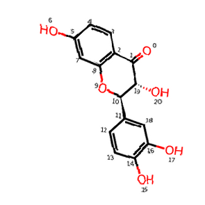 O=C1c2ccc(O)cc2O[C@H](c2ccc(O)c(O)c2)[C@H]1O